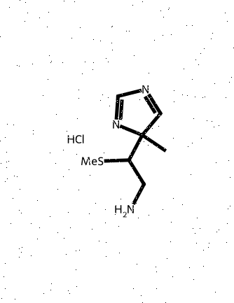 CSC(CN)C1(C)C=NC=N1.Cl